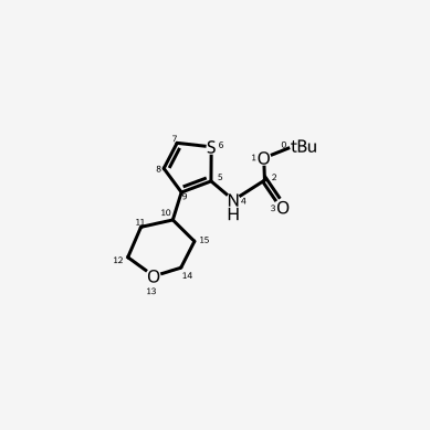 CC(C)(C)OC(=O)Nc1sccc1C1CCOCC1